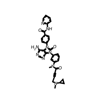 CN(C(=O)C#CCN(C)C1CC1)c1cccc(-n2c(=O)n(-c3ccc(C(=O)Nc4ccccn4)cc3)c3c(N)ncnc32)c1